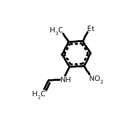 C=CNc1cc(C)c(CC)cc1[N+](=O)[O-]